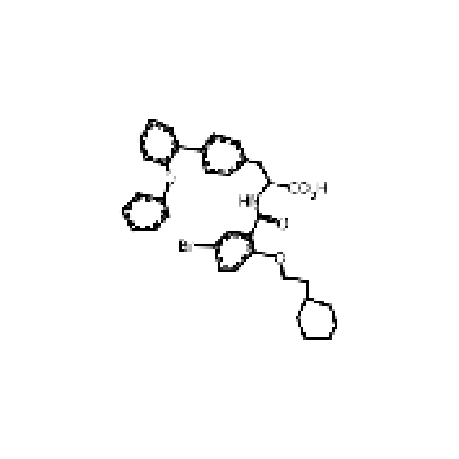 O=C(N[C@@H](Cc1ccc(-c2ccccc2Oc2ccccc2)cc1)C(=O)O)c1cc(Br)ccc1OCCC1CCCCC1